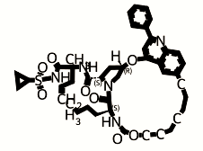 C=CCC(C)(NC(=O)[C@@H]1C[C@@H]2CN1C(=O)[C@H](CCCC)NC(=O)OCCCCCCCc1ccc3nc(-c4ccccc4)cc(c3c1)O2)C(=O)NS(=O)(=O)C1CC1